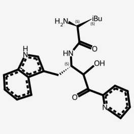 CC[C@H](C)[C@H](N)C(=O)N[C@@H](Cc1c[nH]c2ccccc12)C(O)C(=O)c1ccccn1